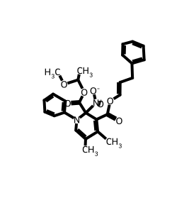 COC(C)OC(=O)C1([N+](=O)[O-])C(C(=O)OC=CCc2ccccc2)=C(C)C(C)=CN1c1ccccc1